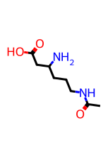 CC(=O)NCCCC(N)CC(=O)O